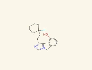 Oc1cccc2c1-c1c(CCC3(F)CCCCC3)ncn1C2